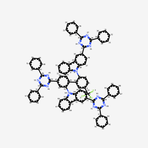 FC(F)(F)c1ccc(-n2c3ccccc3c3cc(-c4nc(-c5ccccc5)nc(-c5ccccc5)n4)ccc32)c(-c2ccc(-c3nc(-c4ccccc4)nc(-c4ccccc4)n3)cc2-n2c3ccccc3c3cc(-c4nc(-c5ccccc5)nc(-c5ccccc5)n4)ccc32)c1